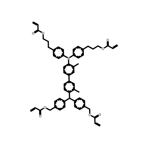 C=CC(=O)OCCCc1ccc(N(c2ccc(CCCOC(=O)C=C)cc2)c2ccc(-c3ccc(C(c4ccc(COC(=O)C=C)cc4)c4ccc(COC(=O)C=C)cc4)c(C)c3)cc2C)cc1